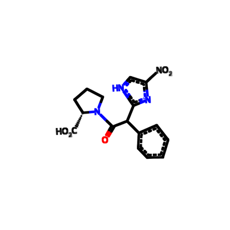 O=C(O)[C@@H]1CCCN1C(=O)C(c1ccccc1)c1nc([N+](=O)[O-])c[nH]1